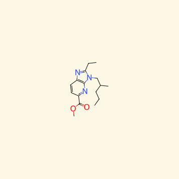 CCCC(C)Cn1c(CC)nc2ccc(C(=O)OC)nc21